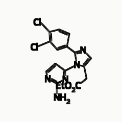 CCOC(=O)Cc1cnc(-c2ccc(Cl)c(Cl)c2)n1-c1ccnc(N)n1